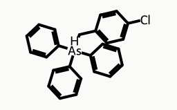 Clc1ccc(C[AsH](c2ccccc2)(c2ccccc2)c2ccccc2)cc1